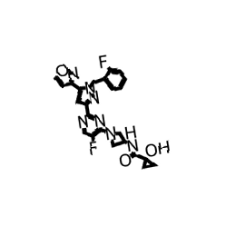 O=C(NC1CN(c2nc(-c3cc(-c4ccon4)n(Cc4ccccc4F)n3)ncc2F)C1)C1(O)CC1